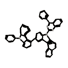 c1ccc(-c2nc(-n3c4ccc(-c5cccc6c5c5ccccc5n6-c5ccccc5)cc4c4c5ccccc5ccc43)nc3ccccc23)cc1